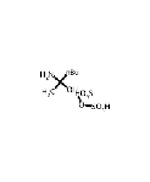 CCCCC(C)(N)O.O=S(=O)(O)OS(=O)(=O)O